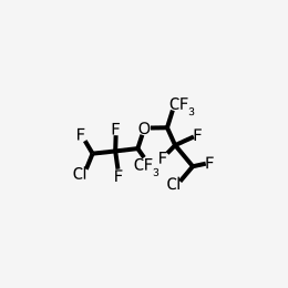 FC(Cl)C(F)(F)C(OC(C(F)(F)F)C(F)(F)C(F)Cl)C(F)(F)F